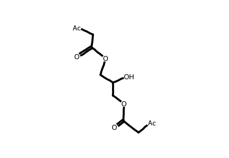 CC(=O)CC(=O)OCC(O)COC(=O)CC(C)=O